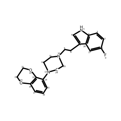 Fc1ccc2[nH]cc(CCN3CCN(c4cccc5c4OCCO5)CC3)c2c1